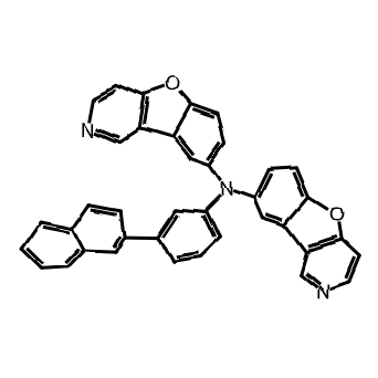 c1cc(-c2ccc3ccccc3c2)cc(N(c2ccc3oc4ccncc4c3c2)c2ccc3oc4ccncc4c3c2)c1